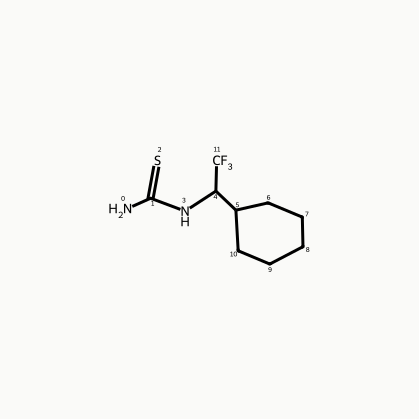 NC(=S)NC(C1CCCCC1)C(F)(F)F